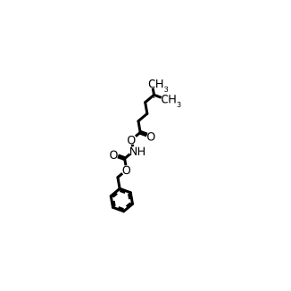 C[C](C)CCCC(=O)ONC(=O)OCc1ccccc1